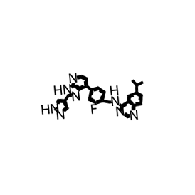 CC(C)c1ccc2ncnc(NCc3ccc(-c4ccnc5[nH]c(-c6cn[nH]c6)nc45)cc3F)c2c1